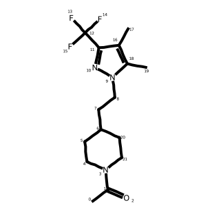 CC(=O)N1CCC(CCn2nc(C(F)(F)F)c(C)c2C)CC1